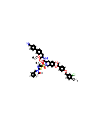 COC(=O)C(Cc1ccc(-c2ccc(C#N)cc2)cc1)NC(=O)C1Cc2cc3c(cc2CN1S(=O)(=O)c1sc(N(CC2CCCC2)C(C)=O)nc1C)OC(c1ccc(OCc2ccc(C)c(Cl)c2)cc1)CO3